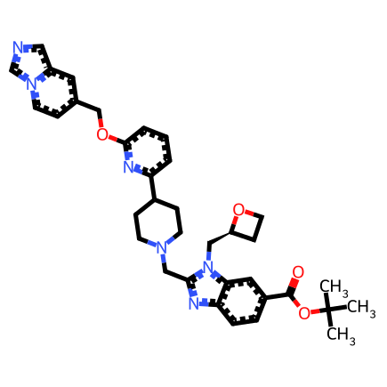 CC(C)(C)OC(=O)c1ccc2nc(CN3CCC(c4cccc(OCc5ccn6cncc6c5)n4)CC3)n(C[C@@H]3CCO3)c2c1